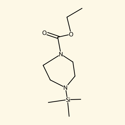 CCOC(=O)N1CCN([Si](C)(C)C)CC1